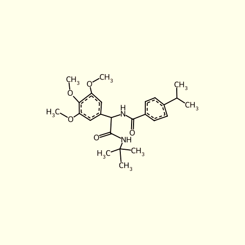 COc1cc(C(NC(=O)c2ccc(C(C)C)cc2)C(=O)NC(C)(C)C)cc(OC)c1OC